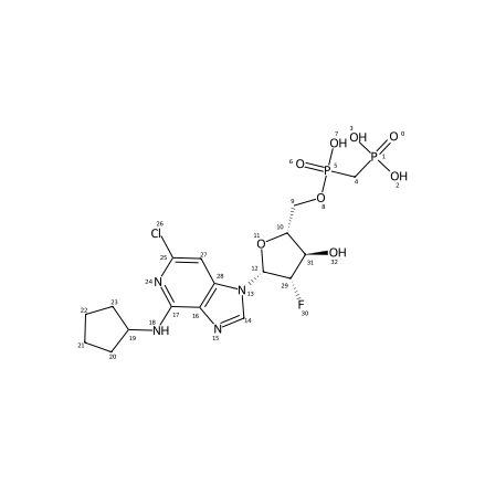 O=P(O)(O)CP(=O)(O)OC[C@H]1O[C@@H](n2cnc3c(NC4CCCC4)nc(Cl)cc32)[C@@H](F)[C@@H]1O